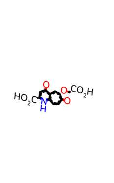 O=C(O)COc1cc2c(=O)cc(C(=O)O)[nH]c2ccc1=O